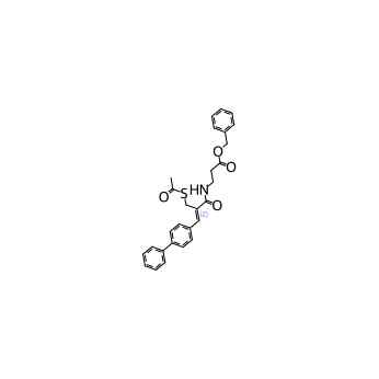 CC(=O)SC/C(=C\c1ccc(-c2ccccc2)cc1)C(=O)NCCC(=O)OCc1ccccc1